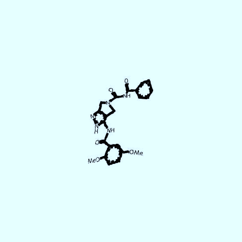 COc1ccc(OC)c(C(=O)Nc2[nH]nc3c2CN(C(=O)NC(=O)c2ccccc2)C3)c1